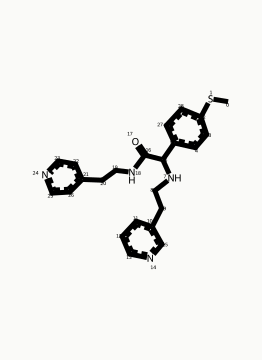 CSc1ccc(C(NCCc2cccnc2)C(=O)NCCc2ccncc2)cc1